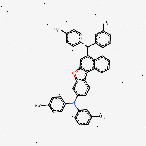 Cc1ccc(C(c2cccc(C)c2)c2cc3oc4cc(N(c5ccc(C)cc5)c5cccc(C)c5)ccc4c3c3ccccc23)cc1